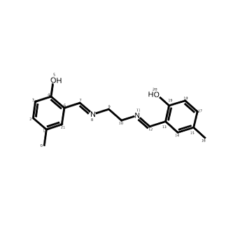 Cc1ccc(O)c(C=NCCN=Cc2cc(C)ccc2O)c1